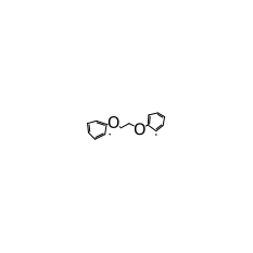 [c]1ccccc1OCCOc1[c]cccc1